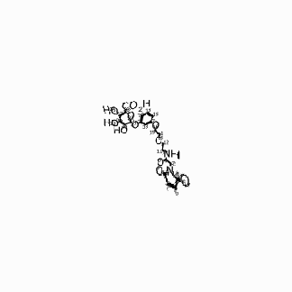 O=C(CN1C(=O)C=CC1=O)NCCOCCOc1cccc(O[C@@H]2O[C@H](C(=O)O)[C@@H](O)[C@H](O)[C@H]2O)c1